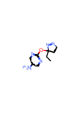 CCC1(Oc2ncc(N)cn2)C=CN=N1